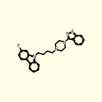 Fc1ccc2c3ccccc3n(CCCCN3CCN(c4nsc5ccccc45)CC3)c2c1